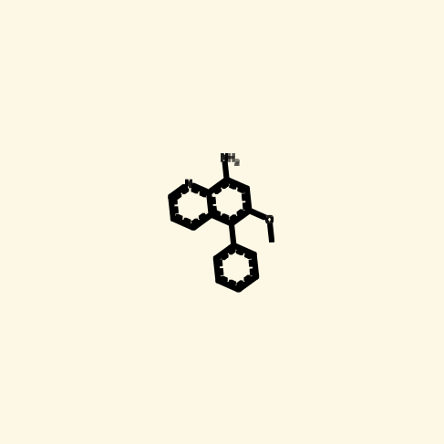 COc1cc(N)c2ncccc2c1-c1ccccc1